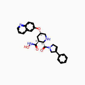 O=C(NO)[C@H]1C[C@H](Oc2ccc3ncccc3c2)CN[C@@H]1C(=O)N1CC=C(c2ccccc2)C1